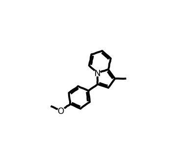 COc1ccc(-c2cc(C)c3ccccn23)cc1